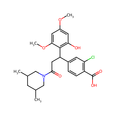 COc1cc(O)c(C(CC(=O)N2CC(C)CC(C)C2)c2ccc(C(=O)O)c(Cl)c2)c(OC)c1